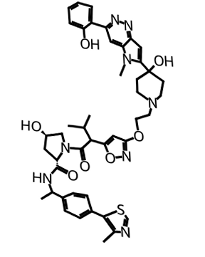 Cc1ncsc1-c1ccc(C(C)NC(=O)[C@@H]2C[C@@H](O)CN2C(=O)C(c2cc(OCCN3CCC(O)(c4cc5nnc(-c6ccccc6O)cc5n4C)CC3)no2)C(C)C)cc1